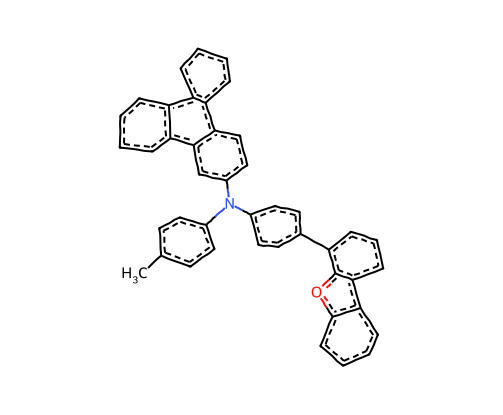 Cc1ccc(N(c2ccc(-c3cccc4c3oc3ccccc34)cc2)c2ccc3c4ccccc4c4ccccc4c3c2)cc1